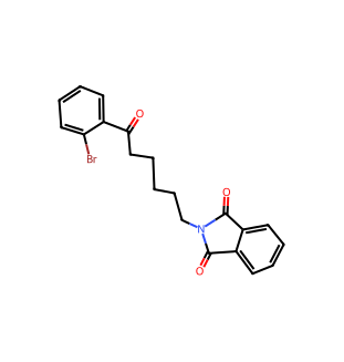 O=C(CCCCCN1C(=O)c2ccccc2C1=O)c1ccccc1Br